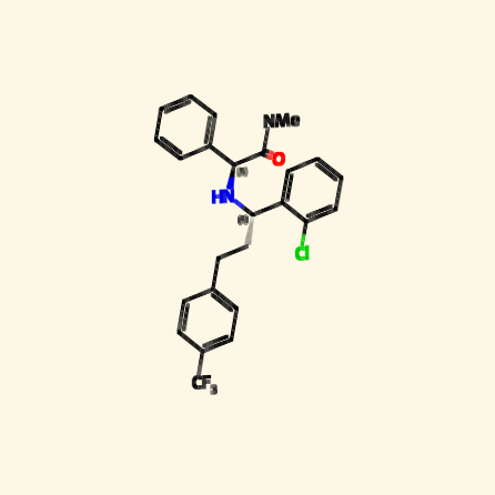 CNC(=O)[C@@H](N[C@@H](CCc1ccc(C(F)(F)F)cc1)c1ccccc1Cl)c1ccccc1